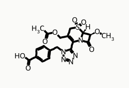 CO[C@H]1C(=O)N2C(c3nnnn3Cc3ccc(C(=O)O)cc3)=C(COC(C)=O)CS(=O)(=O)[C@H]12